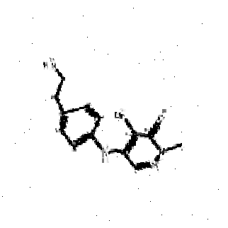 Cn1ncc(Nc2ccc(CCN)cc2)c(Br)c1=O